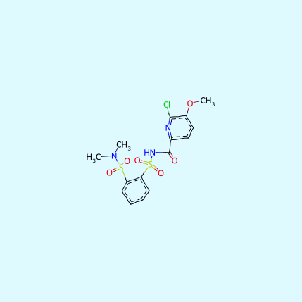 COc1ccc(C(=O)NS(=O)(=O)c2ccccc2S(=O)(=O)N(C)C)nc1Cl